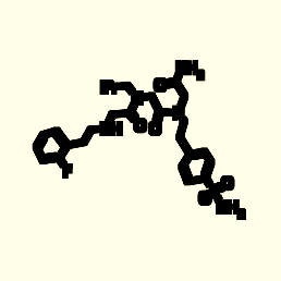 CC(C)CN(CC(=O)N(CCc1ccc(S(N)(=O)=O)cc1)CC(N)=O)C(=O)CNCCc1ccccc1F